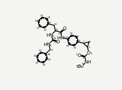 CC(C)(C)NC(=O)OC1CC1c1ccc(NC(=O)C(Cc2ccccc2)NC(=O)NCc2ccccc2)cc1